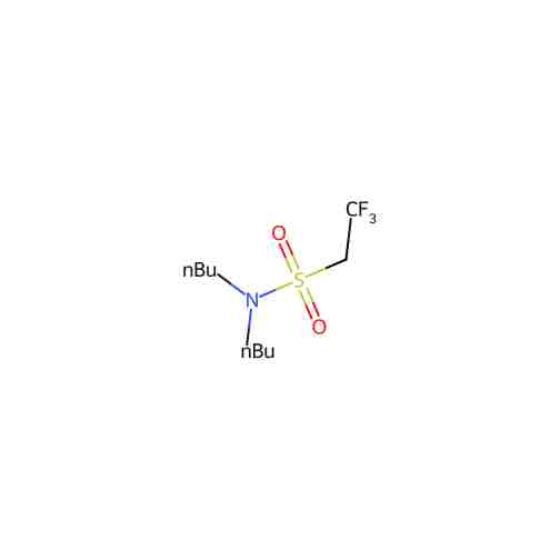 CCCCN(CCCC)S(=O)(=O)CC(F)(F)F